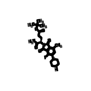 Cc1cc(N2CCNCC2)c(F)c2c1C(=O)N([C@@H](CCC(=O)OC(C)(C)C)C(N)=O)C2=O